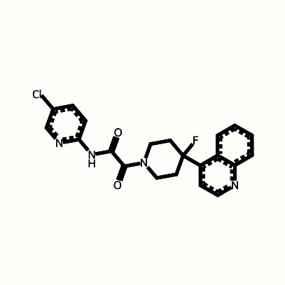 O=C(Nc1ccc(Cl)cn1)C(=O)N1CCC(F)(c2ccnc3ccccc23)CC1